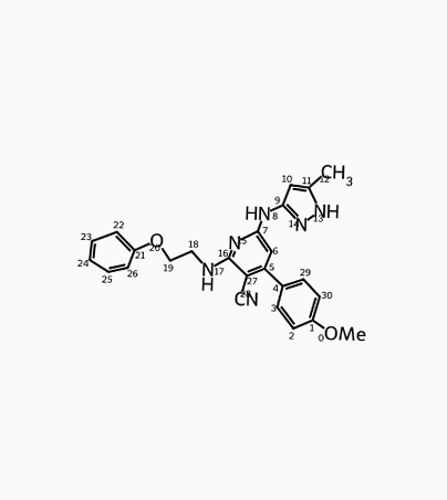 COc1ccc(-c2cc(Nc3cc(C)[nH]n3)nc(NCCOc3ccccc3)c2C#N)cc1